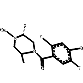 CC1CN(C(C)(C)C)[C@H](C)CN1C(=O)c1cc(F)c(Br)cc1F